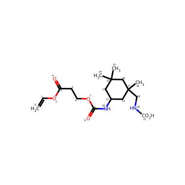 C=COC(=O)CCOC(=O)NC1CC(C)(C)CC(C)(CNC(=O)O)C1